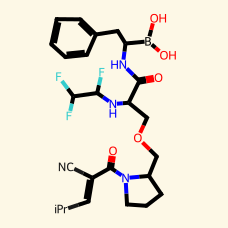 CC(C)C=C(C#N)C(=O)N1CCCC1COCC(NC(F)C(F)F)C(=O)NC(Cc1ccccc1)B(O)O